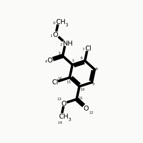 CONC(=O)c1c(Cl)ccc(C(=O)OC)c1Cl